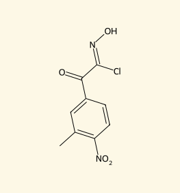 Cc1cc(C(=O)/C(Cl)=N/O)ccc1[N+](=O)[O-]